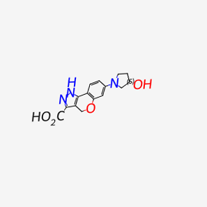 O=C(O)c1n[nH]c2c1COc1cc(N3CC[C@H](O)C3)ccc1-2